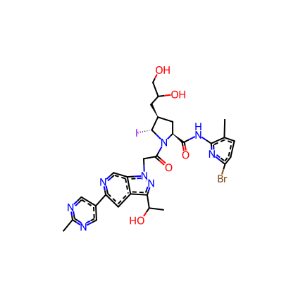 Cc1ncc(-c2cc3c(C(C)O)nn(CC(=O)N4[C@H](I)[C@@H](CC(O)CO)C[C@H]4C(=O)Nc4nc(Br)ccc4C)c3cn2)cn1